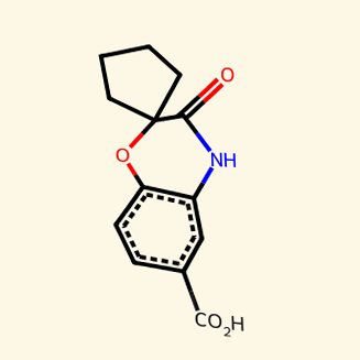 O=C(O)c1ccc2c(c1)NC(=O)C1(CCCC1)O2